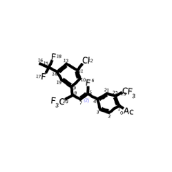 CC(=O)c1ccc(/C(F)=C/C(c2cc(Cl)cc(C(C)(F)F)c2)C(F)(F)F)cc1C(F)(F)F